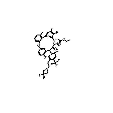 CCOC(=O)C[C@@H]1NC(=O)[C@@H](n2cc(CCN3CC(F)(F)C3)c(C(F)(F)F)cc2=O)c2cc(ccc2F)Oc2cccc(C)c2-c2cc(C)c(F)c1c2